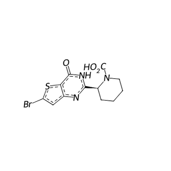 O=C(O)N1CCCC[C@H]1c1nc2cc(Br)sc2c(=O)[nH]1